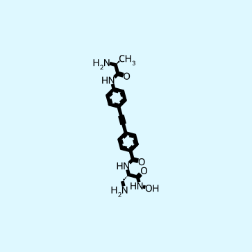 C[C@@H](N)C(=O)Nc1ccc(C#Cc2ccc(C(=O)N[C@@H](CN)C(=O)NO)cc2)cc1